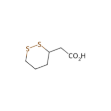 O=C(O)CC1CCCSS1